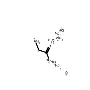 Cl.Cl.Cl.Cl.NCC(=O)O.O.[AlH3].[Zr]